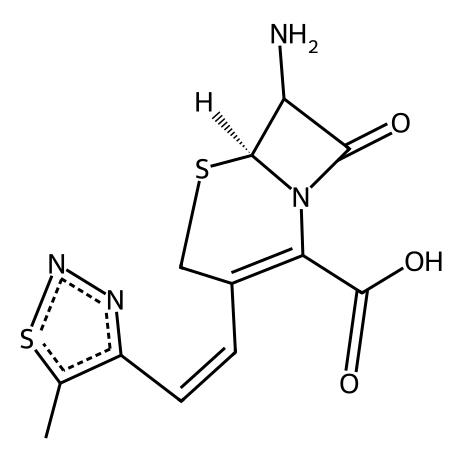 Cc1snnc1/C=C\C1=C(C(=O)O)N2C(=O)C(N)[C@@H]2SC1